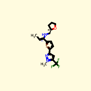 C/C=C(\NC[C@H]1CCCO1)c1ccc(-c2cc(C(F)(F)F)n(C)n2)s1